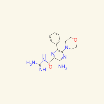 N=C(N)NC(=O)c1nc(-c2ccccc2)c(N2CCOCC2)nc1N